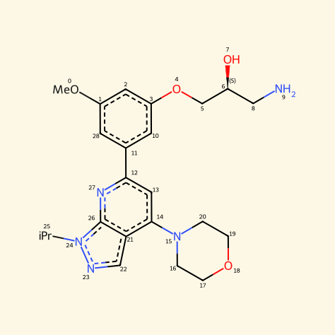 COc1cc(OC[C@@H](O)CN)cc(-c2cc(N3CCOCC3)c3cnn(C(C)C)c3n2)c1